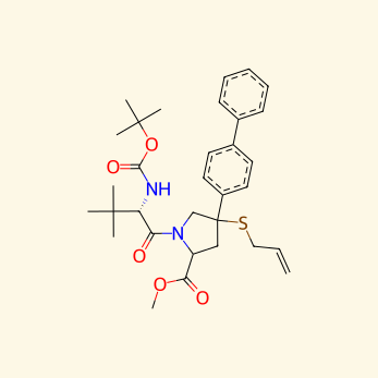 C=CCSC1(c2ccc(-c3ccccc3)cc2)CC(C(=O)OC)N(C(=O)[C@@H](NC(=O)OC(C)(C)C)C(C)(C)C)C1